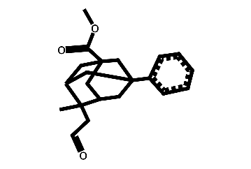 COC(=O)C12CC3CC(c4ccccc4)(CC(C1)C3(C)CC=O)C2